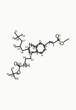 COC(=O)/C=C/c1ccc2c(c1)nc(CC(C)CC(C)(C)C)n2CCNC(=O)OC(C)(C)C